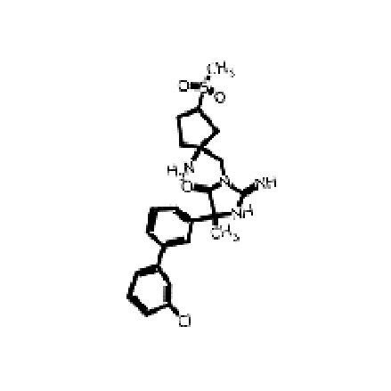 CC1(c2cccc(-c3cccc(Cl)c3)c2)NC(=N)N(CC2(N)CCC(S(C)(=O)=O)C2)C1=O